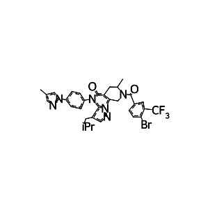 Cc1cnn(-c2ccc(-n3c(=O)c4c(n5ncc(CC(C)C)c35)CN(C(=O)c3ccc(Br)c(C(F)(F)F)c3)C(C)C4)cc2)c1